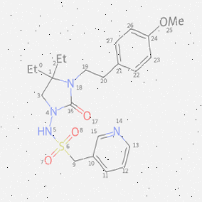 CCC1(CC)CN(NS(=O)(=O)Cc2cccnc2)C(=O)N1CCc1ccc(OC)cc1